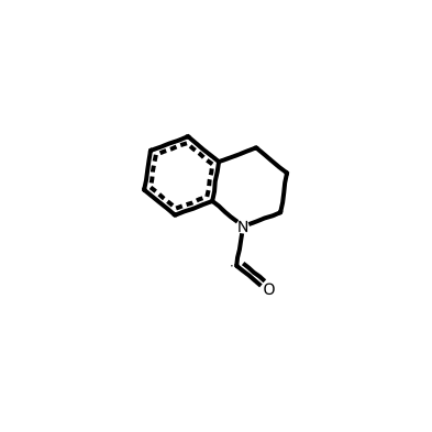 O=[C]N1CCCc2ccccc21